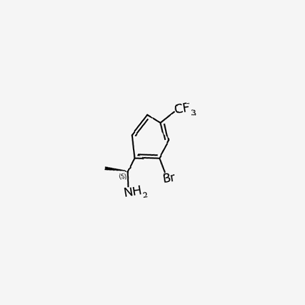 C[C@H](N)c1ccc(C(F)(F)F)cc1Br